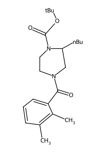 CCCCC1CN(C(=O)c2cccc(C)c2C)CCN1C(=O)OC(C)(C)C